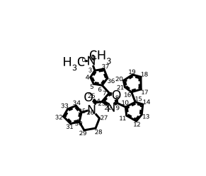 CN(C)c1ccc(-c2oc(-c3ccccc3-c3ccccc3)nc2C(=O)N2CCCc3ccccc32)cc1